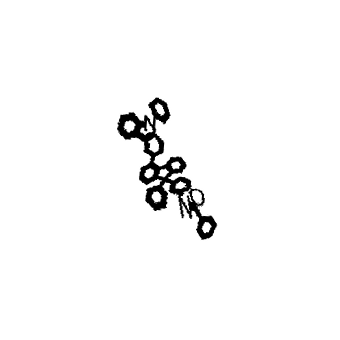 C1=CC(c2cccc3c2-c2ccccc2C3(c2ccccc2)c2ccc3oc(-c4ccccc4)nc3c2)Cc2c1n(-c1ccccc1)c1ccccc21